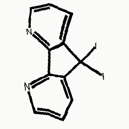 IC1(I)c2cccnc2-c2ncccc21